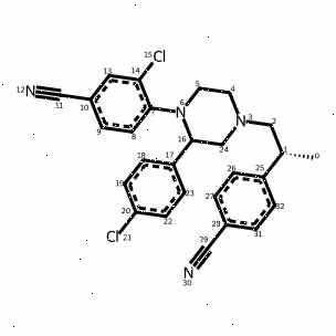 C[C@@H](CN1CCN(c2ccc(C#N)cc2Cl)C(c2ccc(Cl)cc2)C1)c1ccc(C#N)cc1